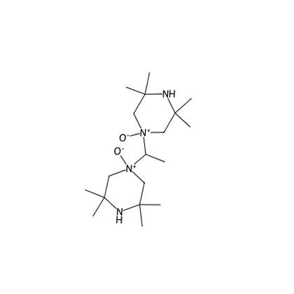 CC([N+]1([O-])CC(C)(C)NC(C)(C)C1)[N+]1([O-])CC(C)(C)NC(C)(C)C1